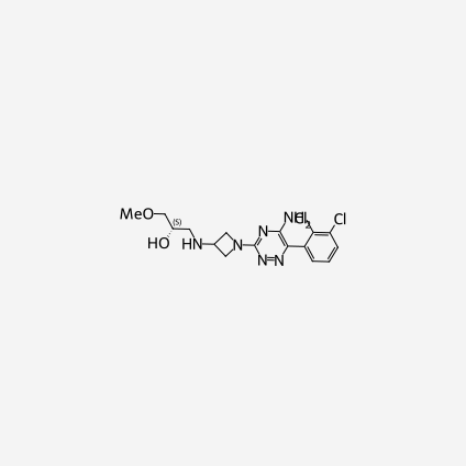 COC[C@@H](O)CNC1CN(c2nnc(-c3cccc(Cl)c3Cl)c(N)n2)C1